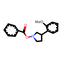 COc1ccccc1C1CCN(OC(=O)c2ccccc2)C1